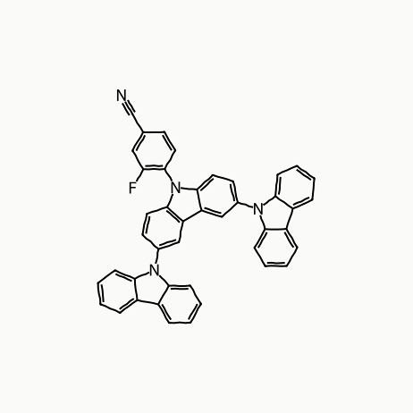 N#Cc1ccc(-n2c3ccc(-n4c5ccccc5c5ccccc54)cc3c3cc(-n4c5ccccc5c5ccccc54)ccc32)c(F)c1